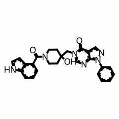 O=C(c1cccc2[nH]ccc12)N1CCC(O)(Cn2cnc3c(cnn3-c3ccccc3)c2=O)CC1